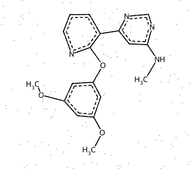 CNc1cc(-c2cccnc2Oc2cc(OC)cc(OC)c2)ncn1